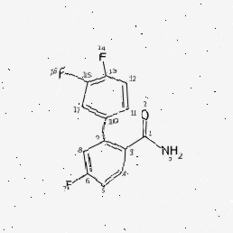 NC(=O)c1ccc(F)cc1-c1ccc(F)c(F)c1